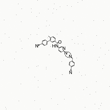 Cc1ccc(C(=O)Nc2ccc(N3CCN(Cc4ccc(C#N)cc4)CC3)nc2)cc1-c1ccc(C#N)cc1